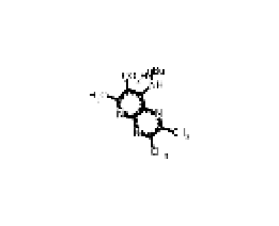 CCCCNc1c(C(=O)O)c(C)nc2nc(C)c(C)nc12